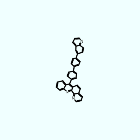 c1cnc2ccc(-c3ccc(-c4ccc(-c5c6ccccc6nc6c5ccc5cccnc56)cc4)cc3)cc2c1